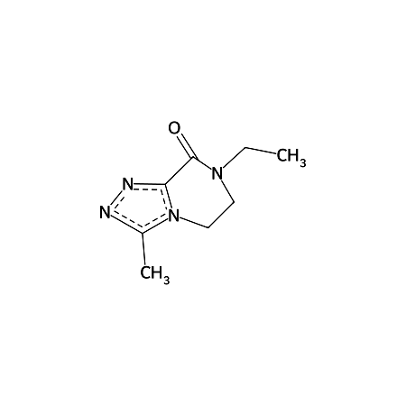 CCN1CCn2c(C)nnc2C1=O